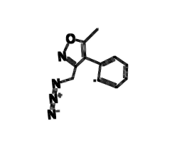 Cc1onc(CN=[N+]=[N-])c1-c1[c]cccc1